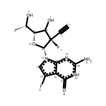 C#C[C@@]1(F)C(O)[C@@H]([C@H](C)O)O[C@H]1n1cc(F)c2c(=O)[nH]c(N)nc21